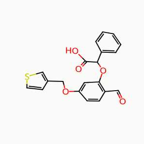 O=Cc1ccc(OCc2ccsc2)cc1OC(C(=O)O)c1ccccc1